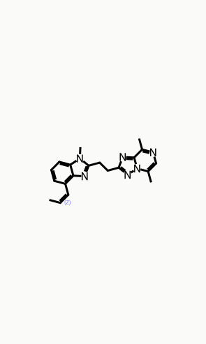 C/C=C\c1cccc2c1nc(CCc1nc3c(C)ncc(C)n3n1)n2C